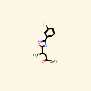 COC(=O)CC(C)c1nc(-c2cccc(Cl)c2)no1